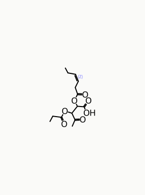 CC/C=C\CC(=O)OC(C(=O)O)C(OC(=O)CC)C(C)=O